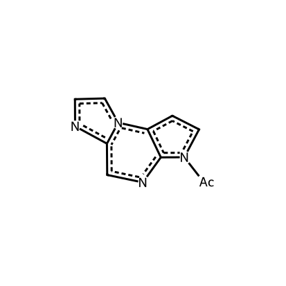 CC(=O)n1ccc2c1ncc1nccn12